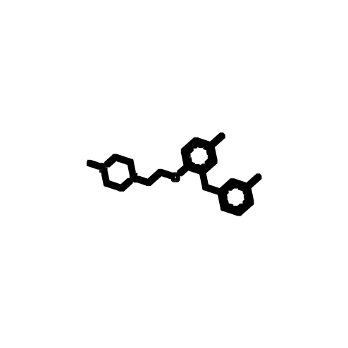 Cc1cccc(Cc2cc(C)ccc2OCCN2CCN(C)CC2)c1